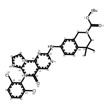 CC(C)(C)OC(=O)N1Cc2cc(Nc3ncc4c(=O)n(-c5c(Cl)cccc5Cl)c5nccn5c4n3)ccc2C(C)(C)C1